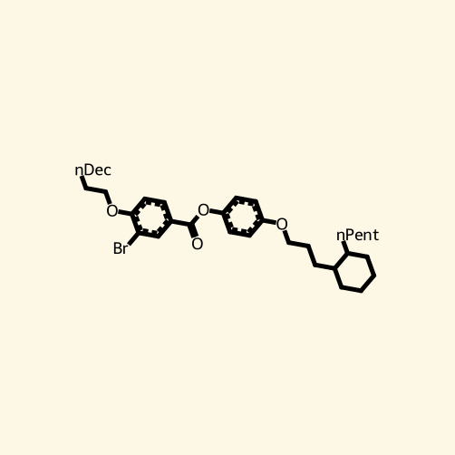 CCCCCCCCCCCCOc1ccc(C(=O)Oc2ccc(OCCCC3CCCCC3CCCCC)cc2)cc1Br